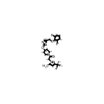 Cc1cc(C(F)(F)F)nn1CC(=O)N1CCC(Oc2ncc(COc3c(F)cccc3F)s2)CC1